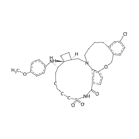 COc1ccc(N[C@H]2CCCCCS(=O)(=O)NC(=O)c3ccc4c(c3)N(CCCCc3cc(Cl)ccc3CO4)C[C@@H]3CC[C@H]32)cc1